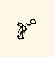 O=[SH]1(c2ccc(OCC3CCCCC3)c3ccccc23)CCCC1